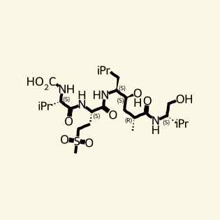 CC(C)C[C@H](NC(=O)[C@H](CCS(C)(=O)=O)NC(=O)[C@@H](NC(=O)O)C(C)C)[C@@H](O)C[C@@H](C)C(=O)N[C@H](CO)C(C)C